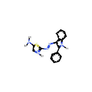 CCN(CC)c1c[n+](CC)c(N=Nc2c(-c3ccccc3)n(CC)c3ccccc23)s1